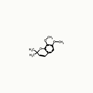 COc1ccc2c(c1OC)OC(C)(C)C=C2